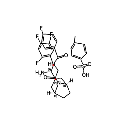 Cc1ccc(S(=O)(=O)O)cc1.N[C@H](Cc1cc(F)c(F)cc1F)[C@@H]1C[C@H]2CC[C@@H](C1)N2C(=O)CNC(=O)c1ccc(F)cc1